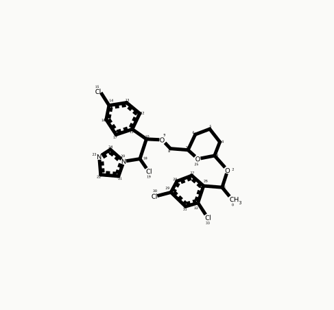 CC(OC1CCCC(COC(c2ccc(Cl)cc2)C(Cl)n2ccnc2)O1)c1ccc(Cl)cc1Cl